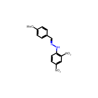 COc1ccc(C=NNc2ccc([N+](=O)[O-])cc2[N+](=O)[O-])cc1